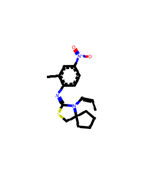 C/C=C\N1/C(=N\c2ccc([N+](=O)[O-])cc2C)SCC12CCCC2